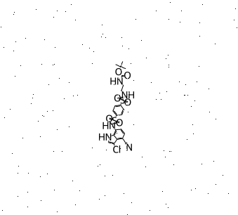 CC(C)(C)OC(=O)NCCNS(=O)(=O)c1ccc(S(=O)(=O)Nc2ccc(C#N)c3c(Cl)c[nH]c23)cc1